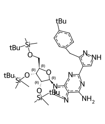 CC(C)(C)c1ccc(Cc2n[nH]cc2-c2nc(N)c3ncn([C@@H]4O[C@H](CO[Si](C)(C)C(C)(C)C)[C@@H](O[Si](C)(C)C(C)(C)C)[C@H]4O[Si](C)(C)C(C)(C)C)c3n2)cc1